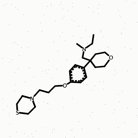 CCN(C)CC1(c2ccc(OCCCN3CCSCC3)cc2)CCOCC1